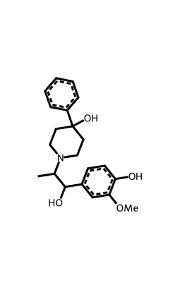 COc1cc(C(O)C(C)N2CCC(O)(c3ccccc3)CC2)ccc1O